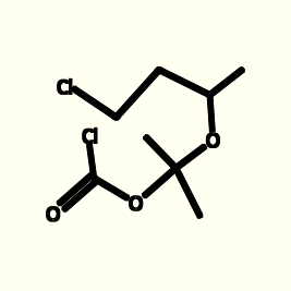 CC(CCCl)OC(C)(C)OC(=O)Cl